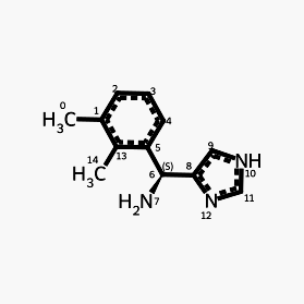 Cc1cccc([C@H](N)c2c[nH]cn2)c1C